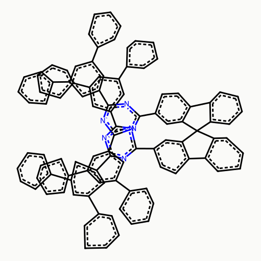 c1ccc(-c2cc(-c3ccccc3)cc(-c3nc(-c4cc(-c5ccccc5)cc(-c5ccccc5)c4)nc(-c4ccc5c(c4)C4(c6ccccc6-5)c5ccccc5-c5ccc(-c6nc(-c7cc(-c8ccccc8)cc(-c8ccccc8)c7)nc(-c7cc(-c8ccccc8)cc(-c8ccccc8)c7)n6)cc54)n3)c2)cc1